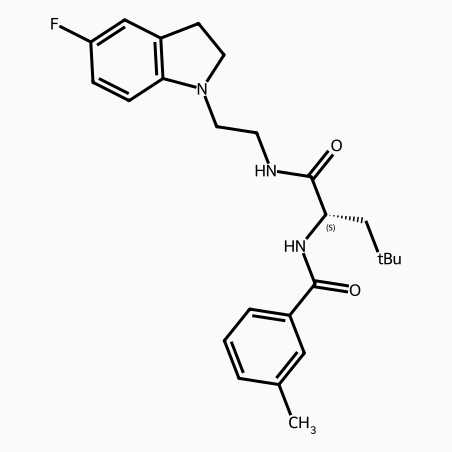 Cc1cccc(C(=O)N[C@@H](CC(C)(C)C)C(=O)NCCN2CCc3cc(F)ccc32)c1